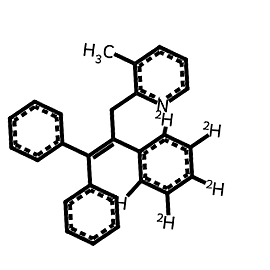 [2H]c1c([2H])c([2H])c(C(Cc2ncccc2C)=C(c2ccccc2)c2ccccc2)c([2H])c1[2H]